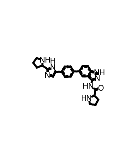 O=C(Nc1n[nH]c2ccc(-c3ccc(-c4cnc(C5CCCN5)[nH]4)cc3)cc12)C1CCCN1